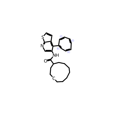 O=C(Nc1cnc2sccc2c1C1=C/C=C\C=C/C=C\1)C1CCCCCCCCCC1